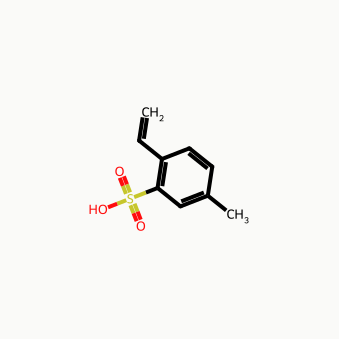 C=Cc1ccc(C)cc1S(=O)(=O)O